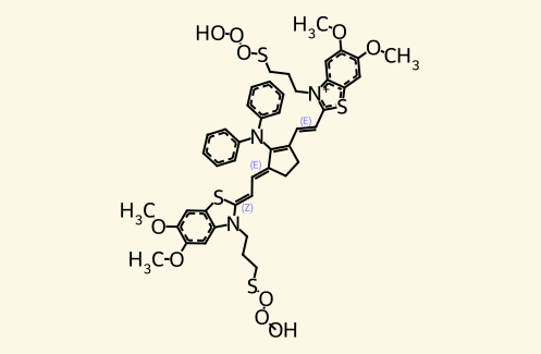 COc1cc2c(cc1OC)N(CCCSOOO)/C(=C/C=C1\CCC(/C=C/c3sc4cc(OC)c(OC)cc4[n+]3CCCSOOO)=C1N(c1ccccc1)c1ccccc1)S2